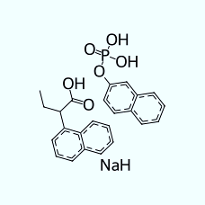 CCC(C(=O)O)c1cccc2ccccc12.O=P(O)(O)Oc1ccc2ccccc2c1.[NaH]